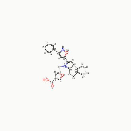 O=C(O)c1coc(Cn2c(-c3cc(-c4ccccc4)no3)cc3c2CCc2ccccc2-3)c1